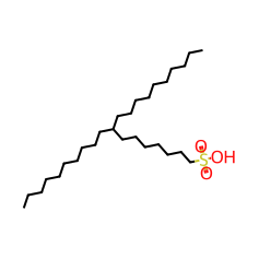 CCCCCCCCCCC(CCCCCCCCCC)CCCCCCCS(=O)(=O)O